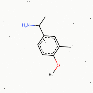 CCOc1ccc(C(C)N)cc1C